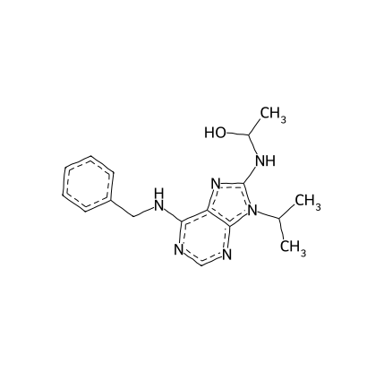 CC(O)Nc1nc2c(NCc3ccccc3)ncnc2n1C(C)C